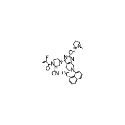 C=C(F)C(=O)N1CCN(c2nc(OC[C@@H]3CCCN3C)nc3c2CCN(c2cccc4cccc([13CH3])c24)C3)C[C@@H]1CC#N